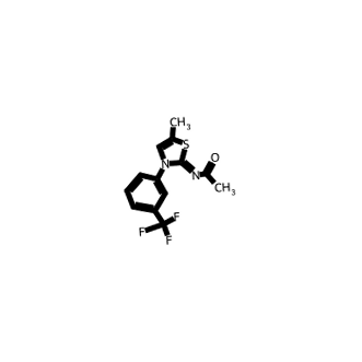 CC(=O)N=c1sc(C)cn1-c1cccc(C(F)(F)F)c1